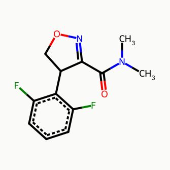 CN(C)C(=O)C1=NOCC1c1c(F)cccc1F